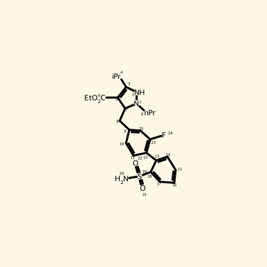 CCCN1NC(C(C)C)=C(C(=O)OCC)C1Cc1ccc(-c2ccccc2S(N)(=O)=O)c(F)c1